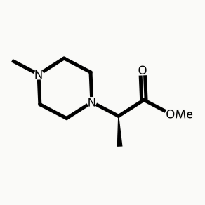 COC(=O)[C@@H](C)N1CCN(C)CC1